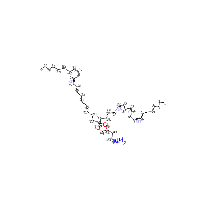 CCCCCC/C=C\C/C=C\C/C=C\CCCCC1(CCCCCCCC/C=C\C/C=C\CCCCCCC)OCC(CCN)O1